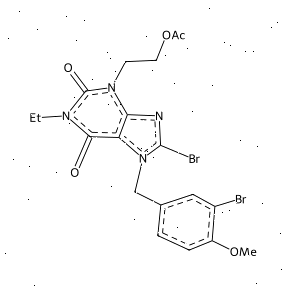 CCn1c(=O)c2c(nc(Br)n2Cc2ccc(OC)c(Br)c2)n(CCOC(C)=O)c1=O